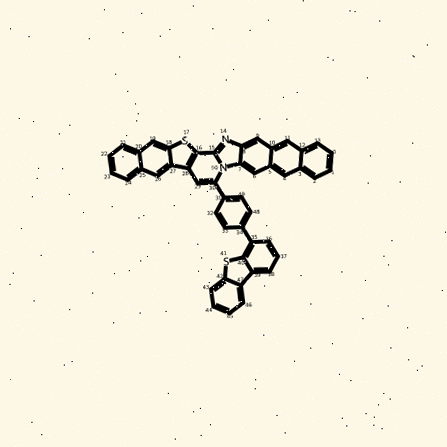 c1ccc2cc3cc4c(cc3cc2c1)nc1c2sc3cc5ccccc5cc3c2cc(-c2ccc(-c3cccc5c3sc3ccccc35)cc2)n41